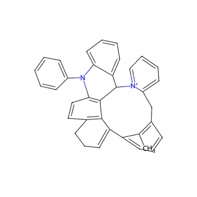 Cc1c2cccc1C1=CCCc3ccc4c(c31)C(c1ccccc1N4c1ccccc1)[n+]1ccccc1C2